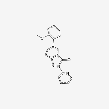 COc1ccccc1-c1ccc2nn(-c3ccccn3)c(=O)n2c1